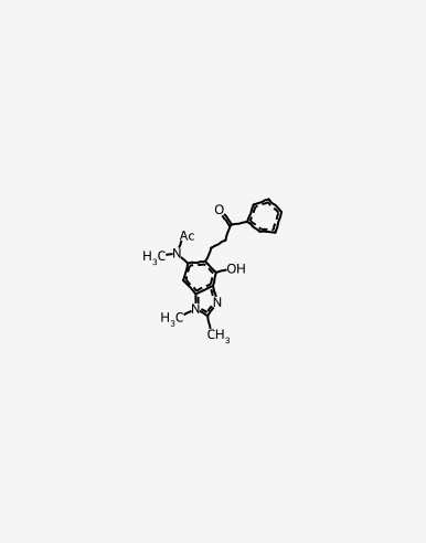 CC(=O)N(C)c1cc2c(nc(C)n2C)c(O)c1CCC(=O)c1ccccc1